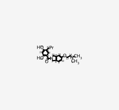 CC(C)c1cc(C(=O)N2Cc3ccc(OCCN(C)C)cc3C2)c(O)cc1O